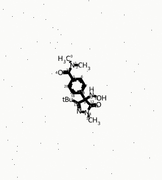 CN(C)C(=O)c1ccc(C2(NO)C(=O)N(C)N=C2C(C)(C)C)cc1